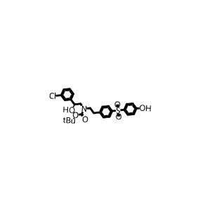 CC(C)(C)OC(=O)N(CCc1ccc(S(=O)(=O)c2ccc(O)cc2)cc1)C[C@@H](O)c1cccc(Cl)c1